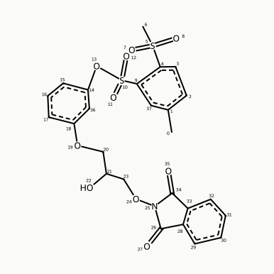 Cc1ccc(S(C)(=O)=O)c(S(=O)(=O)Oc2cccc(OCC(O)CON3C(=O)c4ccccc4C3=O)c2)c1